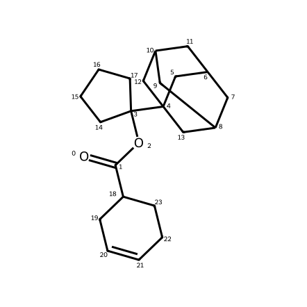 O=C(OC1(C23CC4CC(CC(C4)C2)C3)CCCC1)C1CC=CCC1